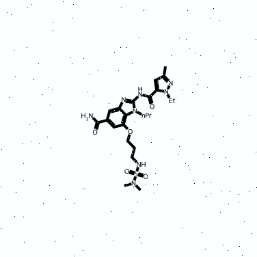 CCCn1c(NC(=O)c2cc(C)nn2CC)nc2cc(C(N)=O)cc(OCCCNS(=O)(=O)N(C)C)c21